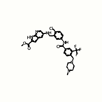 COC(=O)c1cc2cc(NCc3cc(NC(=O)c4ccc(CN5CCN(C)CC5)c(C(F)(F)F)c4)ccc3Cl)cnc2[nH]1